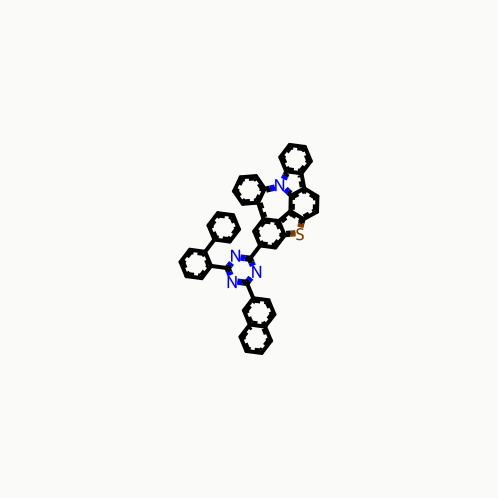 c1ccc(-c2ccccc2-c2nc(-c3ccc4ccccc4c3)nc(-c3cc4sc5ccc6c7ccccc7n7c8ccccc8c(c3)c4c5c67)n2)cc1